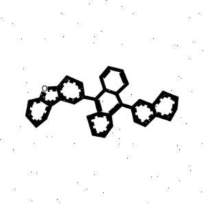 C1=CC2C(c3ccc4ccccc4c3)=c3ccccc3=C(c3ccc4oc5ccccc5c4c3)C2C=C1